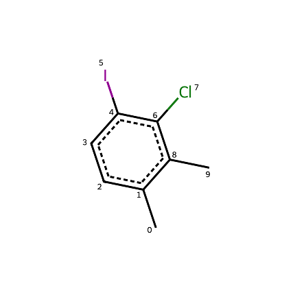 Cc1ccc(I)c(Cl)c1C